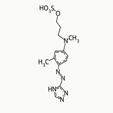 Cc1cc(N(C)CCCOS(=O)(=O)O)ccc1/N=N/c1nnc[nH]1